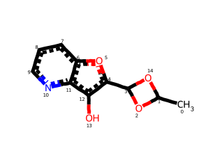 CC1OC(c2oc3cccnc3c2O)O1